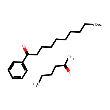 CCCCC(C)=O.CCCCCCCCCCCCCCCCC[CH]C(=O)c1ccccc1